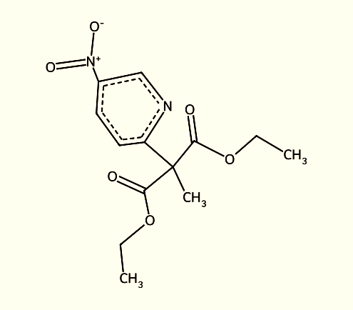 CCOC(=O)C(C)(C(=O)OCC)c1ccc([N+](=O)[O-])cn1